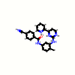 Cc1ccc(NC(=O)c2ccc(C#N)cc2)cc1Nc1nccc(-c2ccccn2)n1